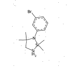 CC1(C)C[SiH2][Si](C)(C)N1c1cccc(Br)c1